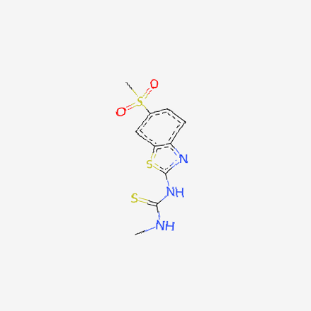 CNC(=S)Nc1nc2ccc(S(C)(=O)=O)cc2s1